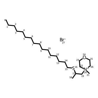 CCCCCCCCCCCCCCCCSC(C)C[N+]1(C)CCOCC1.[Br-]